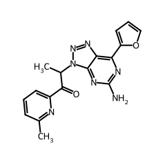 Cc1cccc(C(=O)C(C)n2nnc3c(-c4ccco4)nc(N)nc32)n1